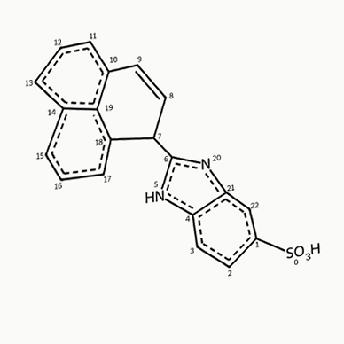 O=S(=O)(O)c1ccc2[nH]c(C3C=Cc4cccc5cccc3c45)nc2c1